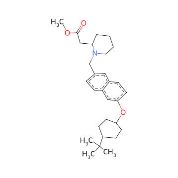 COC(=O)CC1CCCCN1Cc1ccc2cc(OC3CCC(C(C)(C)C)CC3)ccc2c1